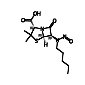 CCCCCN(N=O)[C@@H]1C(=O)N2[C@@H]1SC(C)(C)[C@@H]2C(=O)O